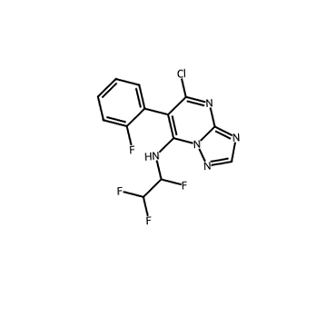 Fc1ccccc1-c1c(Cl)nc2ncnn2c1NC(F)C(F)F